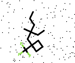 CCCC(C)(CC)CC1(C(F)(F)F)CCC1